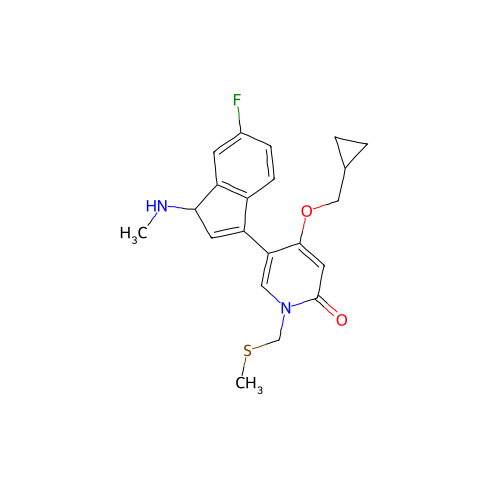 CNC1C=C(c2cn(CSC)c(=O)cc2OCC2CC2)c2ccc(F)cc21